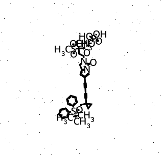 CC(C)(C)[Si](OCC1(C#CC#Cc2cc3n(c2)C(=O)N(CCC(C)(C(=O)NOP(=O)(O)O)S(C)(=O)=O)C3)CC1)(c1ccccc1)c1ccccc1